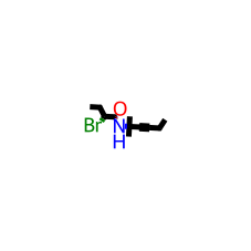 CCC#CC(C)(C)NC(=O)C(Br)CC